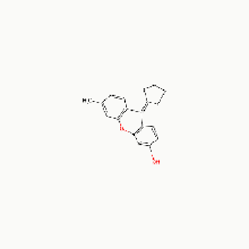 Cc1ccc2c(c1)Oc1cc(O)ccc1C2=C1CCCC1